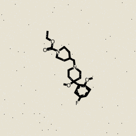 CCOC(=O)N1CCC(CN2CCC(OC)(c3cc(F)ccc3OC)CC2)CC1